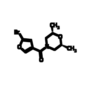 C[C@@H]1CN(C(=O)c2coc(Br)c2)C[C@H](C)O1